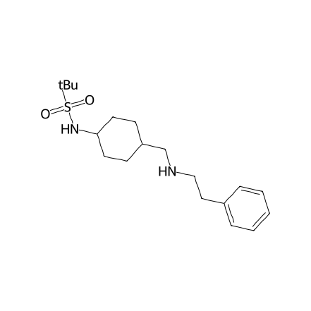 CC(C)(C)S(=O)(=O)NC1CCC(CNCCc2ccccc2)CC1